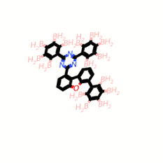 Bc1c(B)c(B)c(-c2nc(-c3c(B)c(B)c(B)c(B)c3B)nc(-c3cccc4oc5c(-c6c(B)c(B)c(B)c(B)c6B)cccc5c34)n2)c(B)c1B